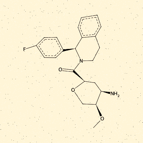 CO[C@H]1CO[C@@H](C(=O)N2CCc3ccccc3[C@@H]2c2ccc(F)cc2)C[C@H]1N